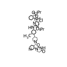 Cc1cc(Nc2ncc(Cl)c(Nc3ccccc3S(=O)(=O)C(C)C)n2)c(OC(C)C)cc1C1CCN(Cc2ccncc2N2CCC(=O)NC2=O)CC1